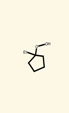 CCC1(OO)CCCC1